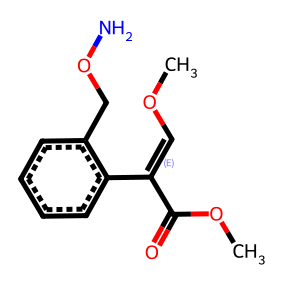 CO/C=C(/C(=O)OC)c1ccccc1CON